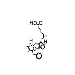 CC(NCC[C@@H]1[C@H](C/C=C\CCCC(=O)O)[C@@H]2CC[C@H]1O2)=C(C)C(=O)Cc1ccccc1